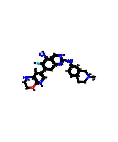 Cc1c(-c2cc3nc(Nc4ccc5c(c4)CN(C(C)C)CC5)ncc3c(N)c2F)cnc2c1NCCO2